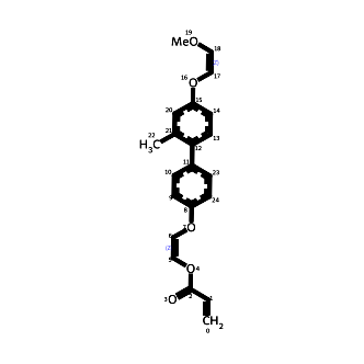 C=CC(=O)O/C=C\Oc1ccc(-c2ccc(O/C=C\OC)cc2C)cc1